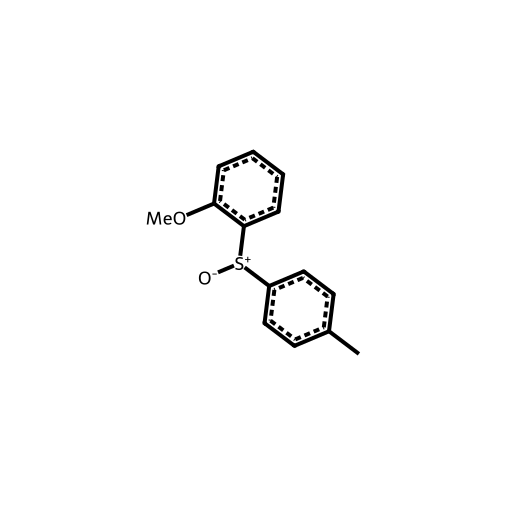 COc1ccccc1[S+]([O-])c1ccc(C)cc1